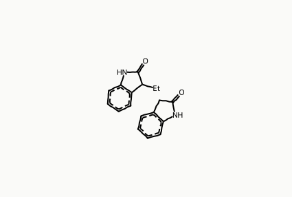 CCC1C(=O)Nc2ccccc21.O=C1Cc2ccccc2N1